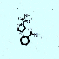 NC(=O)c1ccccc1[C@@H]1CON(S(N)(=O)=O)C1